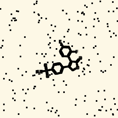 NS(=O)(=O)c1ccc(C2=C(c3ccc(F)cc3F)C(=O)OC2)cc1